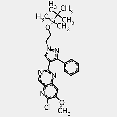 COc1cc2nc(-c3cn(CCO[Si](C)(C)C(C)(C)C)nc3-c3ccccc3)ncc2nc1Cl